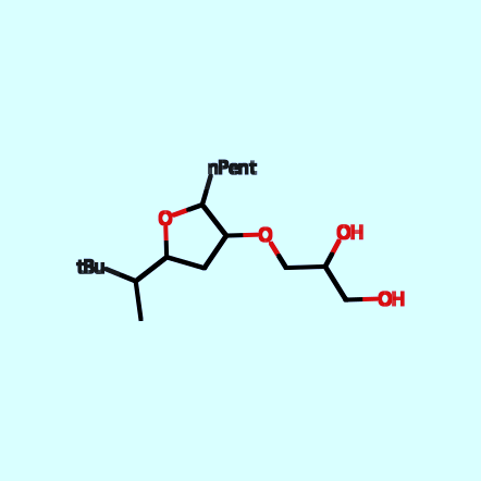 CCCCCC1OC(C(C)C(C)(C)C)CC1OCC(O)CO